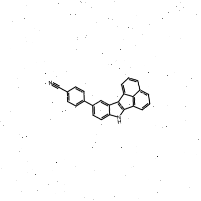 N#Cc1ccc(-c2ccc3[nH]c4c(c3c2)-c2cccc3cccc-4c23)cc1